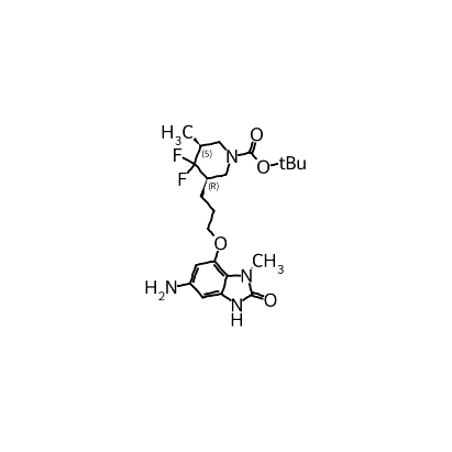 C[C@H]1CN(C(=O)OC(C)(C)C)C[C@@H](CCCOc2cc(N)cc3[nH]c(=O)n(C)c23)C1(F)F